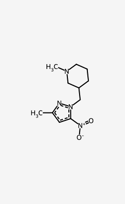 Cc1cc([N+](=O)[O-])n(CC2CCCN(C)C2)n1